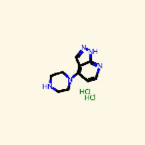 Cl.Cl.c1cc(N2CCNCC2)c2cn[nH]c2n1